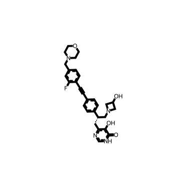 O=c1[nH]cnc(C[C@@H](CN2CC(O)C2)c2ccc(C#Cc3ccc(CN4CCOCC4)cc3F)cc2)c1O